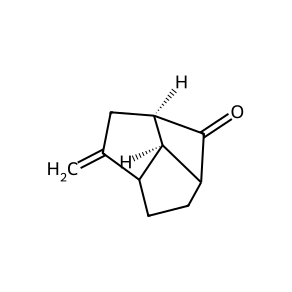 C=C1C[C@H]2C(=O)C3CCC1[C@H]32